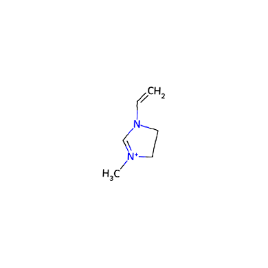 C=CN1C=[N+](C)CC1